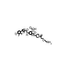 COc1ccc(-c2cnc(C(=O)Nc3ccc(C(=O)NC4CCN(C(=O)CCOCCN)CC4)c(Cl)c3)n2C)c(F)c1F.O=CO